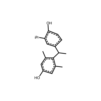 Cc1cc(O)cc(C)c1C(C)c1ccc(O)c(C(C)C)c1